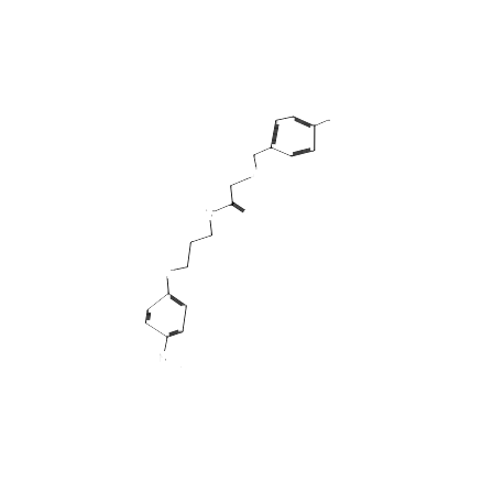 Nc1ccc(OCCCNC(=O)COCc2ccc(F)cc2)cc1